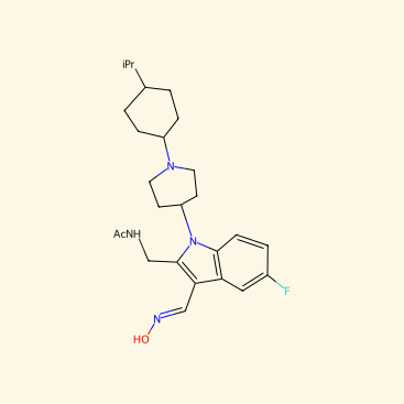 CC(=O)NCc1c(C=NO)c2cc(F)ccc2n1C1CCN(C2CCC(C(C)C)CC2)CC1